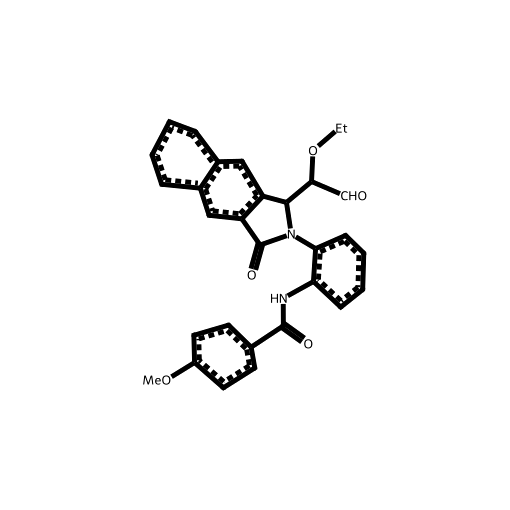 CCOC(C=O)C1c2cc3ccccc3cc2C(=O)N1c1ccccc1NC(=O)c1ccc(OC)cc1